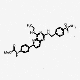 COC(=O)Nc1ccc(-c2ccc3nc(NCc4ccc(S(N)(=O)=O)cc4)nc(NCC(F)(F)F)c3n2)cc1